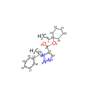 C=CC1(OC(=O)c2cnnn2[C@H](C)c2ccccc2)CCCCC1